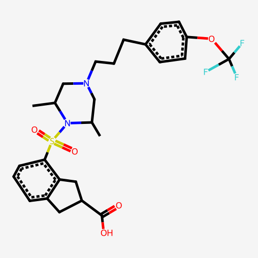 CC1CN(CCCc2ccc(OC(F)(F)F)cc2)CC(C)N1S(=O)(=O)c1cccc2c1CC(C(=O)O)C2